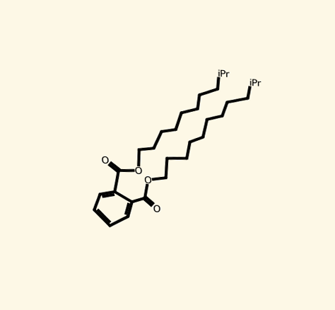 CC(C)CCCCCCCCCOC(=O)c1ccccc1C(=O)OCCCCCCCCC(C)C